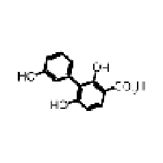 O=C(O)c1ccc(O)c(-c2cccc(O)c2)c1O